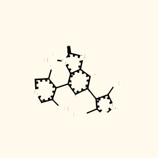 Cc1cncc(C)c1-c1cc(-c2c(C)noc2C)cc2[nH]c(=O)n(C)c12